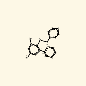 Brc1cc(Br)c(OCc2ccccc2)c(-c2ccccn2)c1